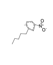 CCCCCc1[c]ccc([N+](=O)[O-])c1